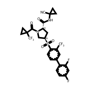 N#CC1(NC(=O)[C@@H]2C[C@@H](S(=O)(=O)c3ccc(-c4ccc(F)cc4F)cc3C(F)(F)F)CN2C(=O)C2(C(F)(F)F)CC2)CC1